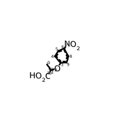 C[C@@H](Oc1ccc([N+](=O)[O-])cc1)C(=O)O